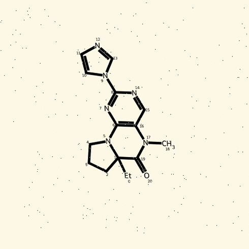 CCC12CCCN1c1nc(-n3ccnc3)ncc1N(C)C2=O